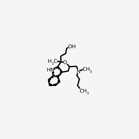 CCCCN(C)CC1Cc2c([nH]c3ccccc23)C(C)(CCCO)O1